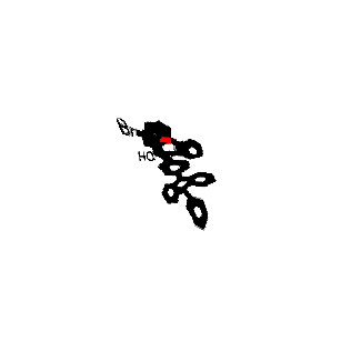 OC(c1ccc(-c2c3ccccc3c(-c3ccccc3)c3ccccc23)cc1)(c1cccc(Br)c1)c1ccccc1-c1ccccc1